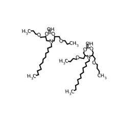 CCCCCCCCCCCCN1C(COCCCC)COB(O)OCC1COCCCC.CCCCCCCCCCCCN1CC(COCCC)OB(O)OC(COCCC)C1